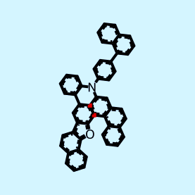 c1ccc(N(c2ccc(-c3cccc4ccccc34)cc2)c2ccc3c(ccc4ccccc43)c2)c(-c2ccc3oc4c5ccccc5ccc4c3c2)c1